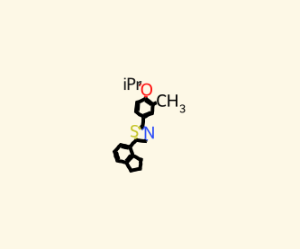 Cc1cc(C2=NCC(c3cccc4c3CCC4)S2)ccc1OC(C)C